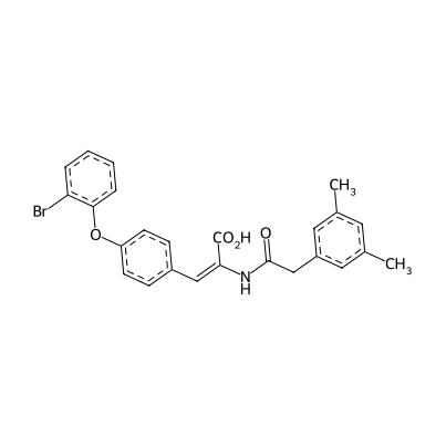 Cc1cc(C)cc(CC(=O)N/C(=C/c2ccc(Oc3ccccc3Br)cc2)C(=O)O)c1